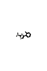 Cc1ccccc1-c1csc(N(C)C)n1